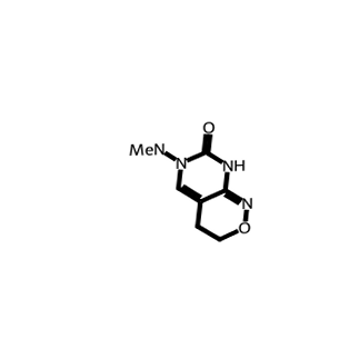 CNN1C=C2CCON=C2NC1=O